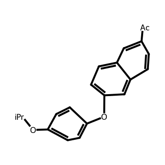 CC(=O)c1ccc2cc(Oc3ccc(OC(C)C)cc3)ccc2c1